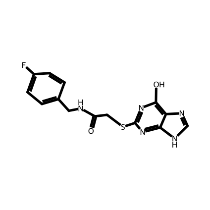 O=C(CSc1nc(O)c2nc[nH]c2n1)NCc1ccc(F)cc1